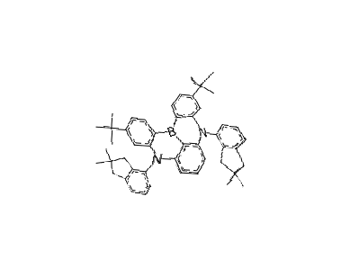 CC1(C)Cc2cccc(N3c4cc(C(C)(C)C)ccc4B4c5ccc(C(C)(C)C)cc5N(c5cccc6c5CC(C)(C)C6)c5cccc3c54)c2C1